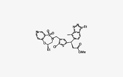 CC[C@@H]1CN(Cc2cc([C@H](CC(=O)OC)c3ccc4c(nnn4CC)c3C)sc2Cl)S(=O)(=O)c2cnccc2O1